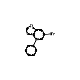 CC(C)c1cc(-c2ccccc2)c2ccoc2c1